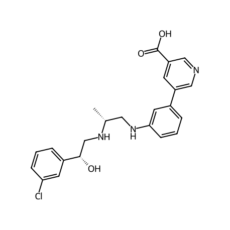 C[C@H](CNc1cccc(-c2cncc(C(=O)O)c2)c1)NC[C@H](O)c1cccc(Cl)c1